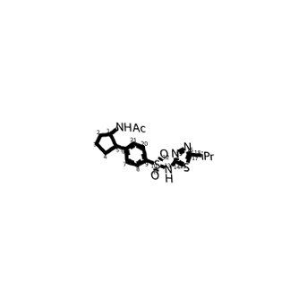 CC(=O)NC1CCCC1c1ccc(S(=O)(=O)Nc2nnc(C(C)C)s2)cc1